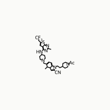 CC(=O)N1CCC(CCN2C(C#N)=CC3C2=CC=C(CN2CCC(Nc4nc(C)nc5sc(CC(F)(F)F)cc45)CC2)C3C)CC1